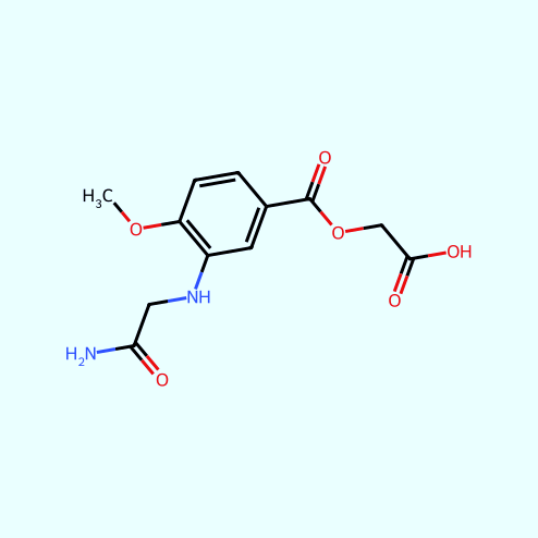 COc1ccc(C(=O)OCC(=O)O)cc1NCC(N)=O